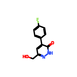 O=c1[nH]nc(CO)cc1-c1ccc(F)cc1